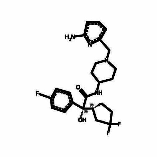 Nc1cccc(CN2CCC(NC(=O)[C@](O)(c3ccc(F)cc3)[C@@H]3CCC(F)(F)C3)CC2)n1